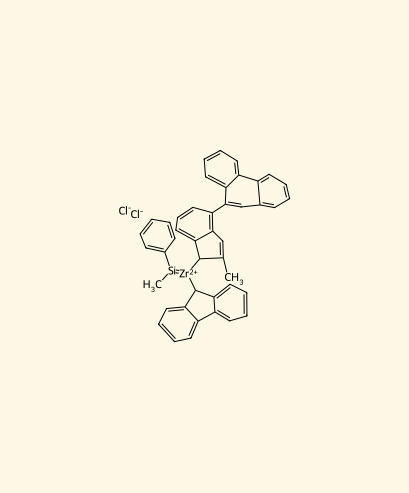 CC1=Cc2c(-c3cc4ccccc4c4ccccc34)cccc2[CH]1/[Zr+2]([CH]1c2ccccc2-c2ccccc21)=[Si](/C)c1ccccc1.[Cl-].[Cl-]